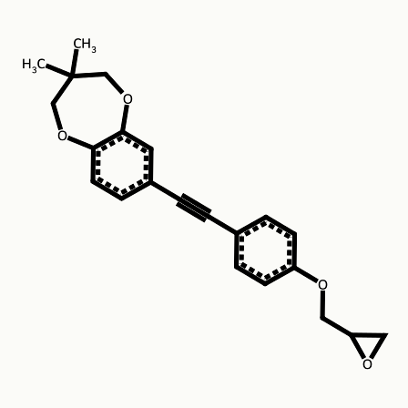 CC1(C)COc2ccc(C#Cc3ccc(OCC4CO4)cc3)cc2OC1